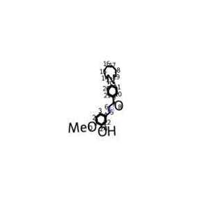 COc1ccc(/C=C/C(=O)c2ccc(N3CCCCCC3)cc2)cc1O